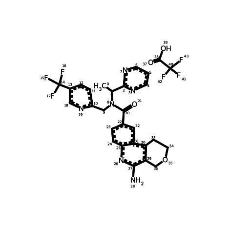 CC(c1ncccn1)N(Cc1ccc(C(F)(F)F)cn1)C(=O)c1ccc2nc(N)c3c(c2c1)CCOC3.O=C(O)C(F)(F)F